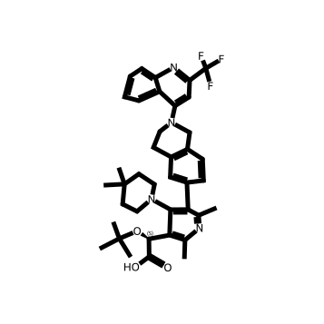 Cc1nc(C)c([C@H](OC(C)(C)C)C(=O)O)c(N2CCC(C)(C)CC2)c1-c1ccc2c(c1)CCN(c1cc(C(F)(F)F)nc3ccccc13)C2